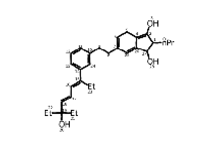 CCCC1C(O)=C2CC=C(CCc3cccc(/C(=C/C=C/C(O)(CC)CC)CC)c3)C=C2C1O